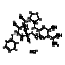 CCS(=O)(=O)N[C@H](Cc1ccccc1)C(=O)NC(=O)[C@@H]1CCCN1Cc1ccc(C(=N)N)c(O)c1.Cl